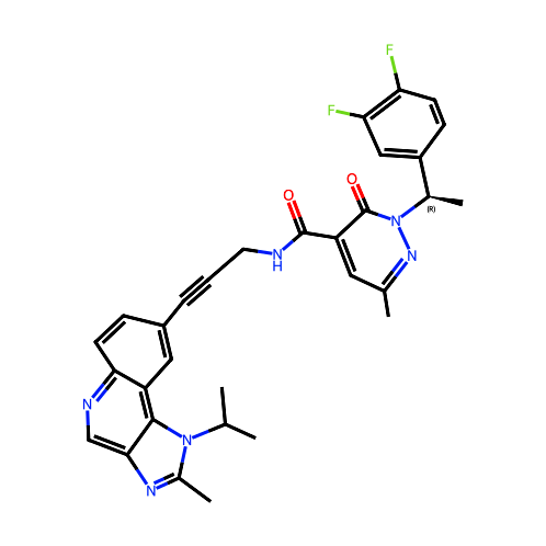 Cc1cc(C(=O)NCC#Cc2ccc3ncc4nc(C)n(C(C)C)c4c3c2)c(=O)n([C@H](C)c2ccc(F)c(F)c2)n1